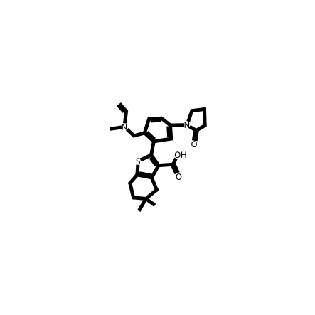 C=CN(C)Cc1ccc(N2CCCC2=O)cc1-c1sc2c(c1C(=O)O)CC(C)(C)CC2